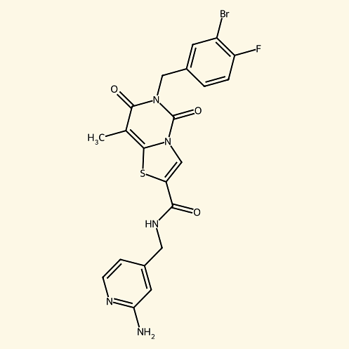 Cc1c(=O)n(Cc2ccc(F)c(Br)c2)c(=O)n2cc(C(=O)NCc3ccnc(N)c3)sc12